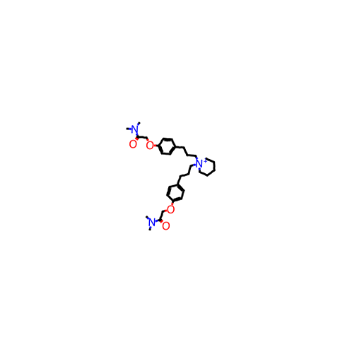 CN(C)C(=O)COc1ccc(CCC[N+]2(CCCc3ccc(OCC(=O)N(C)C)cc3)CCCCC2)cc1